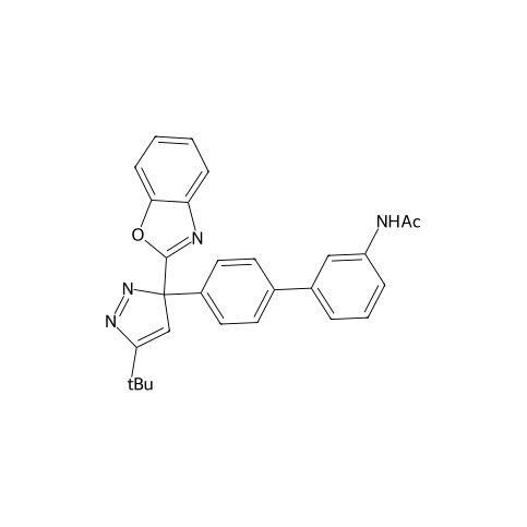 CC(=O)Nc1cccc(-c2ccc(C3(c4nc5ccccc5o4)C=C(C(C)(C)C)N=N3)cc2)c1